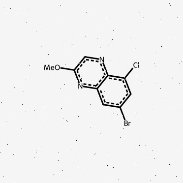 COc1cnc2c(Cl)cc(Br)cc2n1